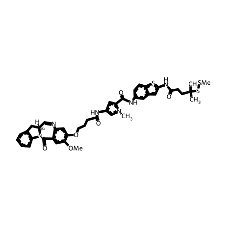 COc1cc2c(cc1OCCCC(=O)Nc1cc(C(=O)Nc3ccc4sc(NC(=O)CCC(C)(C)SSC)cc4c3)n(C)c1)N=C[C@@H]1Cc3ccccc3N1C2=O